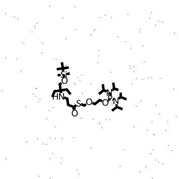 CCC(CC)(CO[Si](C)(C)C(C)(C)C)NCCC(=O)SCOCCOP(N(C(C)C)C(C)C)N(C(C)C)C(C)C